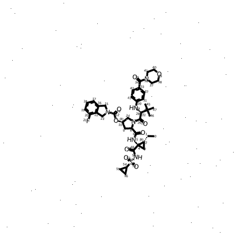 CC[C@@H]1C[C@]1(NC(=O)C1C[C@@H](OC(=O)N2Cc3cccc(F)c3C2)CN1C(=O)[C@@H](Nc1ccc(C(=O)N2CCOCC2)cc1)C(C)(C)C)C(=O)NS(=O)(=O)C1CC1